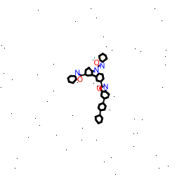 c1ccc(-c2ccc(-c3ccc4nc(-c5ccc6c(c5)c5cc(-c7nc8ccccc8o7)ccc5n6-c5nc6ccccc6o5)oc4c3)cc2)cc1